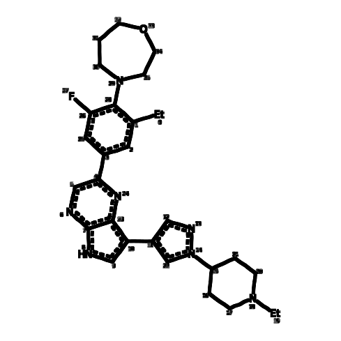 CCc1cc(-c2cnc3[nH]cc(-c4cnn(C5CCN(CC)CC5)c4)c3n2)cc(F)c1N1CCCOCC1